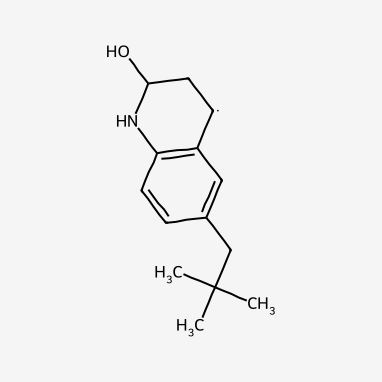 CC(C)(C)Cc1ccc2c(c1)[CH]CC(O)N2